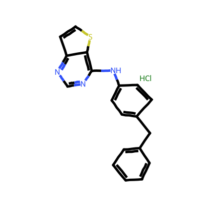 Cl.c1ccc(Cc2ccc(Nc3ncnc4ccsc34)cc2)cc1